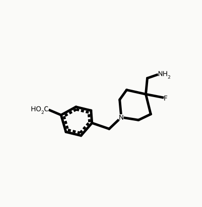 NCC1(F)CCN(Cc2ccc(C(=O)O)cc2)CC1